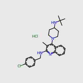 Cc1c(NCc2ccc(Cl)cc2)nc2ccccc2c1N1CCC(NC(C)(C)C)CC1.Cl